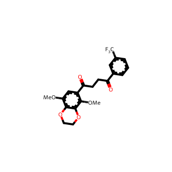 COc1cc(C(=O)CCC(=O)c2cccc(C(F)(F)F)c2)c(OC)c2c1OCCO2